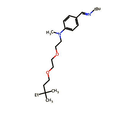 CCC(C)(C)CCOCCOCCN(C)c1ccc(C=NC(C)(C)C)cc1